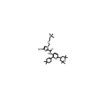 CC1(C)CC=C(c2nc(C3CC(C)(C)OC(C)(C)C3)ccc2NC(=O)c2nc(C#N)cn2COCC[Si](C)(C)C)CC1